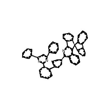 c1ccc(-c2cc(-c3ccccc3)nc(-c3ccccc3-c3ccc(-c4nc5c(c6ccccc46)C4(c6ccccc6-c6ccccc64)c4ccccc4-5)cc3)n2)cc1